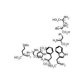 CC(C)C[C@H](N)C(=O)O.CC(C)[C@H](N)C(=O)O.CC[C@H](C)[C@H](N)C(=O)O.CSCC[C@H](N)C(=O)O.C[C@H](N)C(=O)O.N[C@@H](Cc1c[nH]c2ccccc12)C(=O)O.N[C@@H](Cc1ccccc1)C(=O)O.O=C(O)[C@@H]1CCCN1